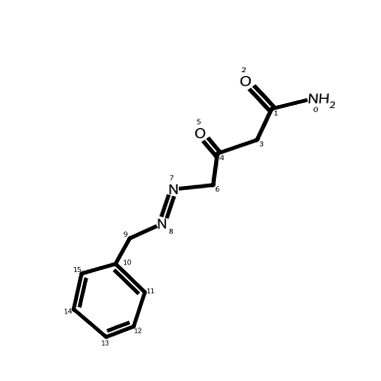 NC(=O)CC(=O)CN=NCc1ccccc1